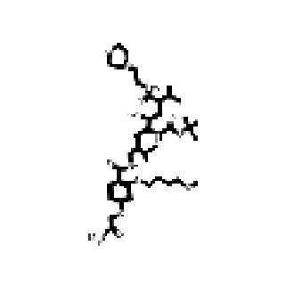 COCCCCOc1cc(OCC(N)=O)ccc1C(=O)NCC(CC(NC(=O)OC(C)(C)C)C(O)CC(C(=O)NCCN1CCOCC1)C(C)C)C(C)C